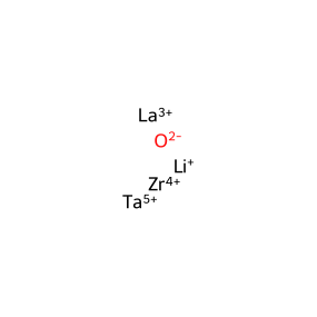 [La+3].[Li+].[O-2].[Ta+5].[Zr+4]